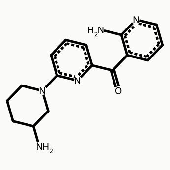 Nc1ncccc1C(=O)c1cccc(N2CCCC(N)C2)n1